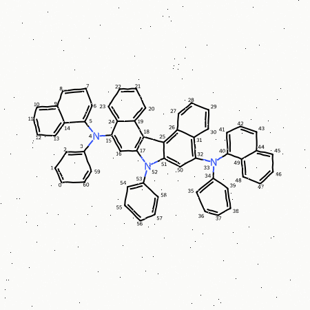 c1ccc(N(c2cccc3ccccc23)c2cc3c(c4ccccc24)c2c4ccccc4c(N(c4ccccc4)c4cccc5ccccc45)cc2n3-c2ccccc2)cc1